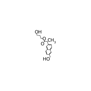 CC(C(=O)OCCCO)c1ccc2cc(CO)ccc2c1